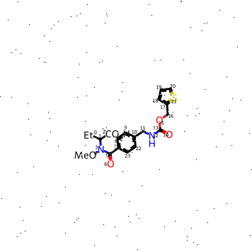 CCC(C(=O)O)N(OC)C(=O)c1ccc(CNC(=O)OCc2cccs2)cc1